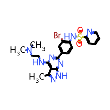 Cc1n[nH]c2nc(-c3ccc(NS(=O)(=O)c4ccccn4)c(Br)c3)nc(NCCN(C)C)c12